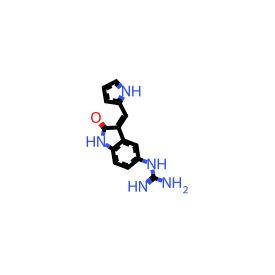 N=C(N)Nc1ccc2c(c1)C(=Cc1ccc[nH]1)C(=O)N2